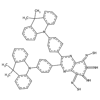 CC1(C)c2ccccc2N(c2ccc(-c3nc4c(=NS)c(=N)c(=N)/c(=N\S)c4nc3-c3ccc(N4c5ccccc5C(C)(C)c5ccccc54)cc3)cc2)c2ccccc21